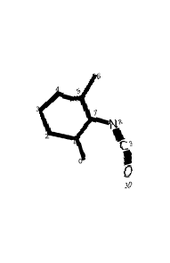 CC1CCCC(C)C1N=C=O